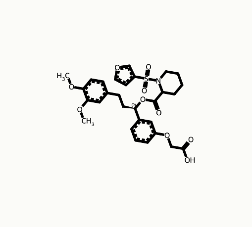 COc1ccc(CC[C@@H](OC(=O)C2CCCCN2S(=O)(=O)c2ccoc2)c2cccc(OCC(=O)O)c2)cc1OC